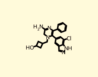 NC1=NC(c2ccccc2)=C(c2cc(Cl)c3[nH]ncc3c2)N(CC2CC(O)C2)C1